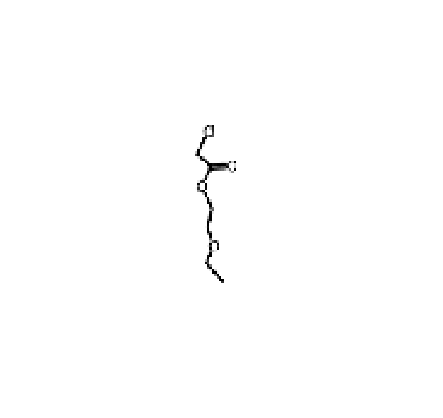 CCOCCOC(=O)CCl